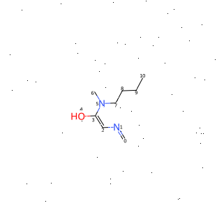 C=N/C=C(/O)N(C)CCCC